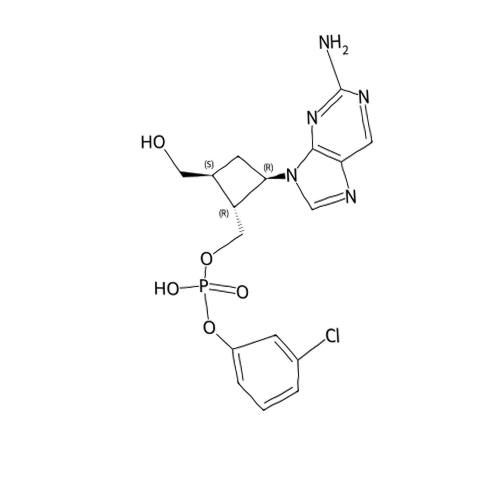 Nc1ncc2ncn([C@@H]3C[C@H](CO)[C@H]3COP(=O)(O)Oc3cccc(Cl)c3)c2n1